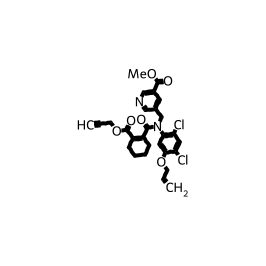 C#CCOC(=O)C1=C(C(=O)N(Cc2cncc(C(=O)OC)c2)c2cc(OCC=C)c(Cl)cc2Cl)CCCC1